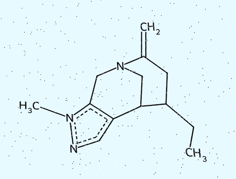 C=C1CC(CC)C2CN1Cc1c2cnn1C